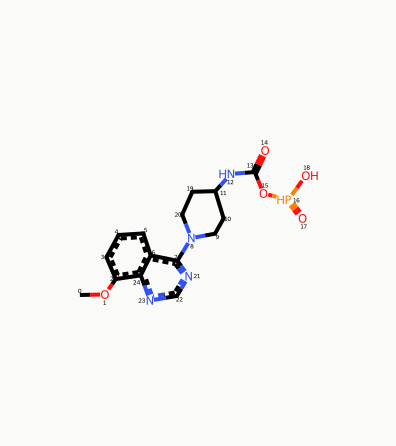 COc1cccc2c(N3CCC(NC(=O)O[PH](=O)O)CC3)ncnc12